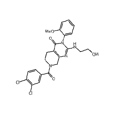 COc1ccccc1-n1c(NCCO)nc2c(c1=O)CCN(C(=O)c1ccc(Cl)c(Cl)c1)C2